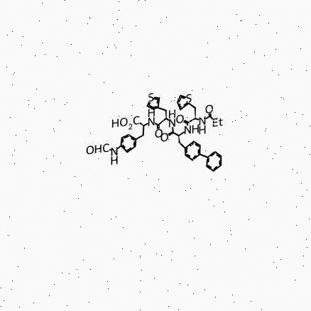 CCC(=O)N[C@H](Cc1cccs1)C(=O)N[C@@H](Cc1ccc(-c2ccccc2)cc1)C(=O)N[C@H](Cc1ccsc1)C(=O)N[C@@H](Cc1ccc(NC=O)cc1)C(=O)O